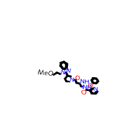 COCCCn1c(C2CCCN(C(=O)CC(N)CNC(=O)c3cccnc3Oc3ccccc3)C2)nc2ccccc21